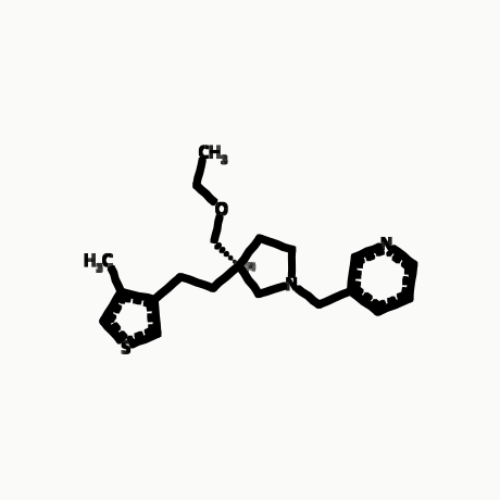 CCOC[C@]1(CCc2cscc2C)CCN(Cc2cccnc2)C1